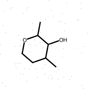 CC1CCOC(C)C1O